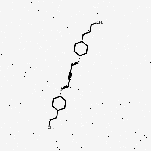 CCCC[C@H]1CC[C@H](/C=C/C#C/C=C/[C@H]2CC[C@H](CCC)CC2)CC1